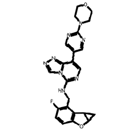 Fc1ccc2c(c1CNc1ncc(-c3cnc(N4CCOCC4)nc3)c3nncn13)C1CC1O2